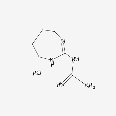 Cl.N=C(N)NC1=NCCCCN1